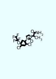 CC(C(N)=O)N1CCN(c2cc(OC(F)(F)C(F)F)c(Cl)cc2Cl)C1=O